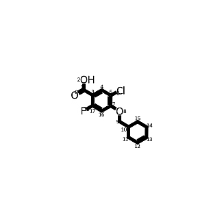 O=C(O)c1cc(Cl)c(OCC2CC=CCC2)cc1F